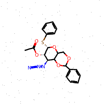 CC(=O)O[C@H]1[C@H](N=[N+]=[N-])C2OC(c3ccccc3)OCC2O[C@H]1Sc1ccccc1